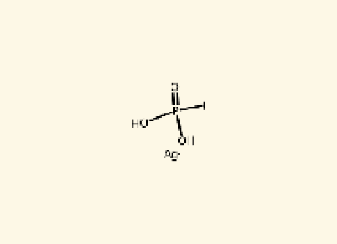 O=P(O)(O)I.[Ag]